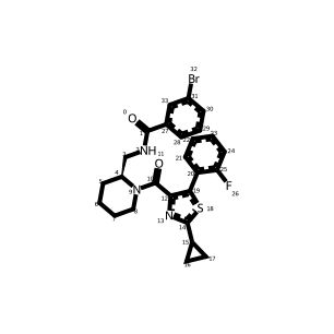 O=C(NC[C@@H]1CCCCN1C(=O)c1nc(C2CC2)sc1-c1ccccc1F)c1cccc(Br)c1